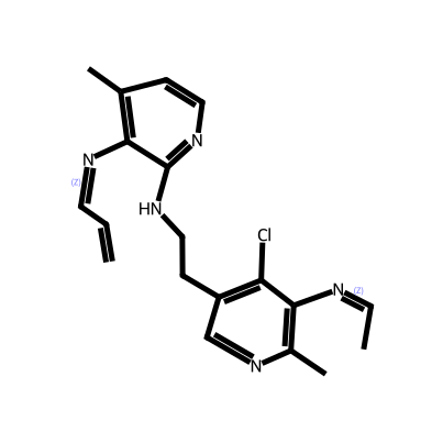 C=C/C=N\c1c(C)ccnc1NCCc1cnc(C)c(/N=C\C)c1Cl